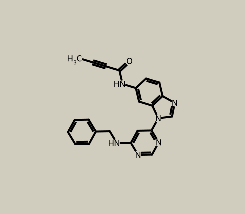 CC#CC(=O)Nc1ccc2ncn(-c3cc(NCc4ccccc4)ncn3)c2c1